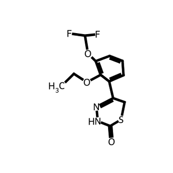 CCOc1c(OC(F)F)cccc1C1=NNC(=O)SC1